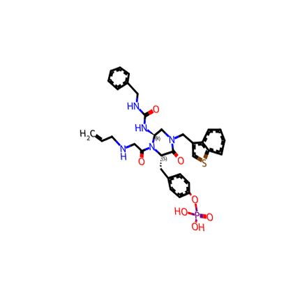 C=CCNCC(=O)N1[C@@H](NC(=O)NCc2ccccc2)CN(Cc2csc3ccccc23)C(=O)[C@@H]1Cc1ccc(OP(=O)(O)O)cc1